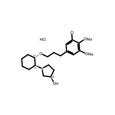 COc1cc(CCCO[C@H]2CCCC[C@@H]2N2CC[C@@H](O)C2)cc(Cl)c1OC.Cl